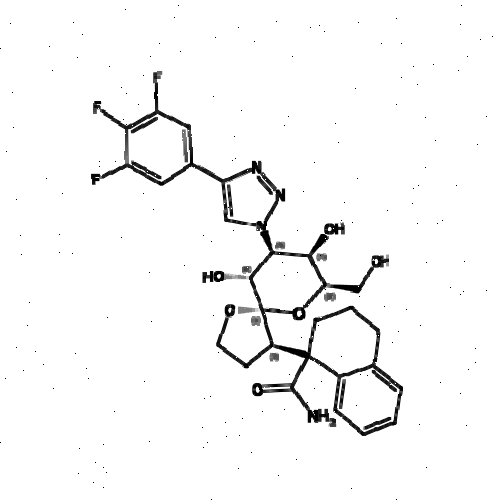 NC(=O)C1([C@H]2CCO[C@]23O[C@H](CO)[C@H](O)[C@H](n2cc(-c4cc(F)c(F)c(F)c4)nn2)[C@H]3O)CCCc2ccccc21